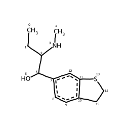 CCC(NC)C(O)c1ccc2c(c1)SCC2